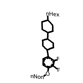 CCCCCCCCCOc1ccc(C2CCC(C3CCC(CCCCCC)CC3)CC2)c(F)c1F